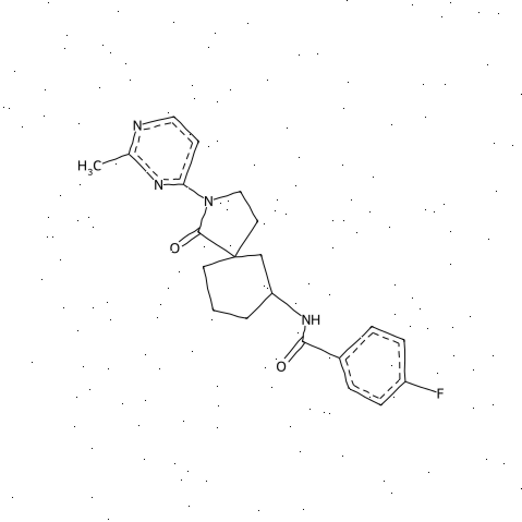 Cc1nccc(N2CCC3(CCCC(NC(=O)c4ccc(F)cc4)C3)C2=O)n1